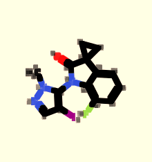 Cn1ncc(I)c1N1C(=O)C2(CC2)c2cccc(F)c21